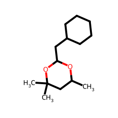 CC1CC(C)(C)OC(CC2CCCCC2)O1